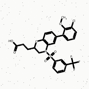 COc1c(Cl)cccc1-c1ccc2c(c1)N(S(=O)(=O)c1cccc(C(F)(F)F)c1)CC(CCC(=O)O)O2